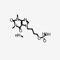 CCCC.Cn1c(=O)c2c(ncn2CCCCO[PH](=O)O)n(C)c1=O